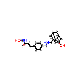 O=C(C=Cc1ccc(CNCC23CC4CC(CC(O)(C4)C2)C3)cc1)NO